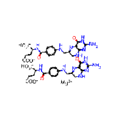 Nc1nc2c(c(=O)[nH]1)N=C(CNc1ccc(C(=O)NC(CCC(=O)[O-])C(=O)O)cc1)CN2.Nc1nc2c(c(=O)[nH]1)N=C(CNc1ccc(C(=O)NC(CCC(=O)[O-])C(=O)O)cc1)CN2.[Mg+2]